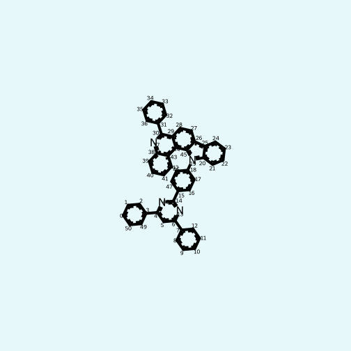 c1ccc(-c2cc(-c3ccccc3)nc(-c3ccc(-n4c5ccccc5c5ccc6c(-c7ccccc7)nc7ccccc7c6c54)cc3)n2)cc1